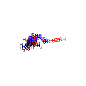 CC[C@H](C)[C@@H]([C@@H](CC(=O)N1CCC[C@H]1[C@H](OC)[C@@H](C)C(=O)N[C@H](C)[C@@H](O)c1ccccc1)OC)N(C)C(=O)[C@@H](NC(=O)[C@H](C(C)C)N(C)C(=O)OCc1ccc(NC(=O)[C@H](CCCNC(N)=O)NC(=O)[C@@H](NC(=O)[C@H](N)CCCCNC(=O)COC2CCCCCc3c2nnn3CCOCCOCCOCCOCCOCCO)C(C)C)cc1)C(C)C